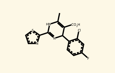 CC1=C(C(=O)O)C(c2ccc(F)cc2Cl)N=C(c2nccs2)N1